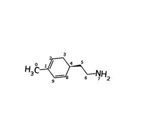 CC1=CC[C@@H](CCN)C=C1